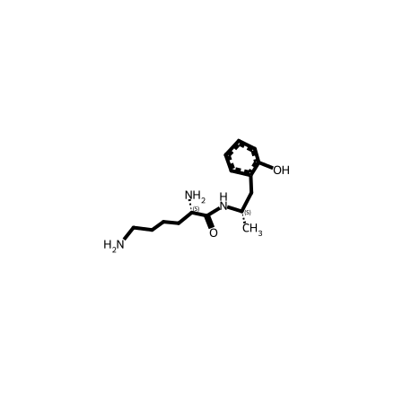 C[C@@H](Cc1ccccc1O)NC(=O)[C@@H](N)CCCCN